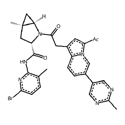 CC(=O)c1cc(CC(=O)N2[C@H](C(=O)Nc3nc(Br)ccc3C)C[C@@]3(C)C[C@@H]23)c2ccc(-c3cnc(C)nc3)cn12